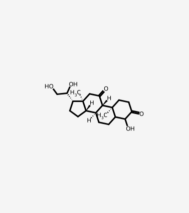 C[C@]12CC(=O)[C@H]3[C@@H](CCC4C(O)C(=O)CC[C@@]43C)[C@@H]1CC[C@@H]2C(O)CO